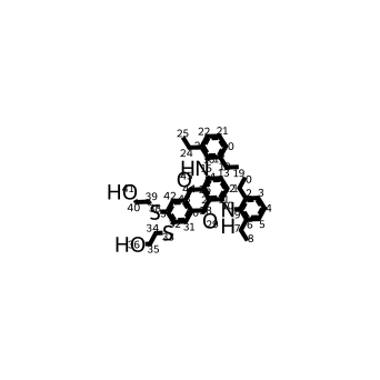 CCc1cccc(CC)c1Nc1ccc(Nc2c(CC)cccc2CC)c2c1C(=O)c1cc(SCCO)c(SCCO)cc1C2=O